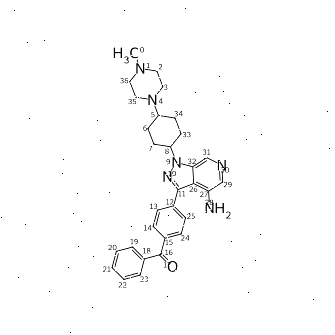 CN1CCN(C2CCC(n3nc(-c4ccc(C(=O)c5ccccc5)cc4)c4c(N)cncc43)CC2)CC1